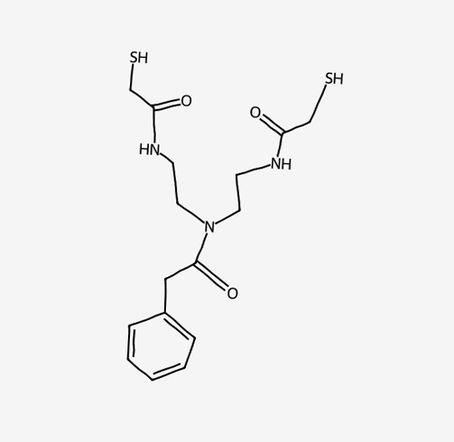 O=C(CS)NCCN(CCNC(=O)CS)C(=O)Cc1ccccc1